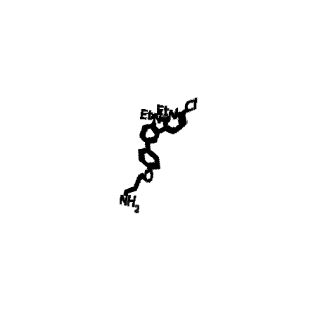 CC[N+]1(CC)c2ccc(-c3ccc(OCCCN)cc3)cc2-c2ccc(Cl)nc21